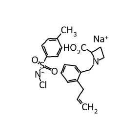 C=CCc1ccccc1CN1CCC1C(=O)O.Cc1ccc(S(=O)(=O)[N-]Cl)cc1.[Na+]